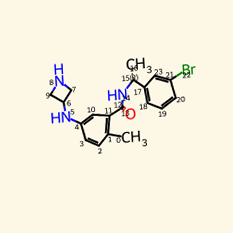 Cc1ccc(NC2CNC2)cc1C(=O)N[C@H](C)c1cccc(Br)c1